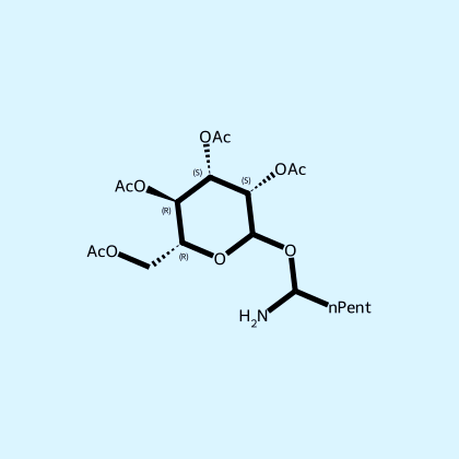 CCCCCC(N)OC1O[C@H](COC(C)=O)[C@@H](OC(C)=O)[C@H](OC(C)=O)[C@@H]1OC(C)=O